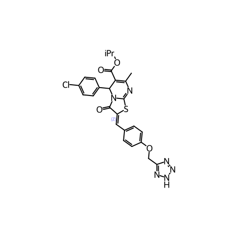 CC1=C(C(=O)OC(C)C)C(c2ccc(Cl)cc2)n2c(s/c(=C\c3ccc(OCc4nn[nH]n4)cc3)c2=O)=N1